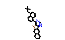 CC(C)(C)Cc1cccc2c(-c3ncnc4c3sc3cc5ccccc5cc34)cccc12